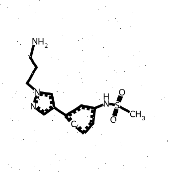 CS(=O)(=O)Nc1cccc(-c2cnn(CCCN)c2)c1